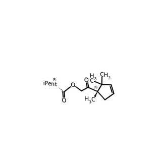 CCC[C@@H](C)C(=O)OCC(=O)[C@@]1(C)CC=CC1(C)C